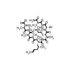 C/C=C/C[C@@H](C)C[C@@H](C(=O)NC(=O)N(C)[C@H](SCCN(C)C)C(=O)N(C)[C@H](C(=O)NC(=O)N(C)C(N)=O)C(C)C)N(C)C(=O)N(C)C(=O)N(C)C(=O)N(C)C(=O)[C@@H](C)NC(=O)CC